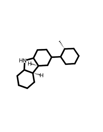 C[C@@H]1CCCCC1C1CCC2NC3CCCC[C@@H]3[C@@H]2C1